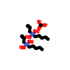 C=CC[N+](O)(O)CCCCC.C=CC[N+](O)(O)CCCCC.O=C([O-])[O-]